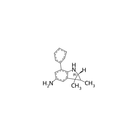 CC1[C@H]2Nc3c(-c4ccccc4)cc(N)cc3C12C